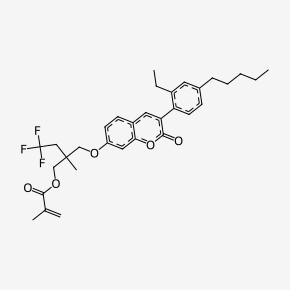 C=C(C)C(=O)OCC(C)(COc1ccc2cc(-c3ccc(CCCCC)cc3CC)c(=O)oc2c1)CC(F)(F)F